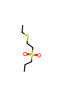 CCCS(=O)(=O)CCSCC